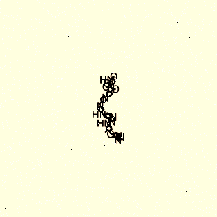 Cc1cc(Nc2ncnc3ccc(NC4CCN(CC5CCN(c6ccc7c(c6)C(=O)N(C6CCC(=O)NC6=O)C7=O)CC5)CC4)cc23)ccc1Oc1ccn2ncnc2c1